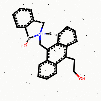 C[N@+]1(Cc2c3ccccc3c(CCO)c3ccccc23)Cc2ccccc2B1O